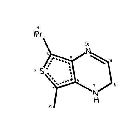 Cc1sc(C(C)C)c2c1NCC=N2